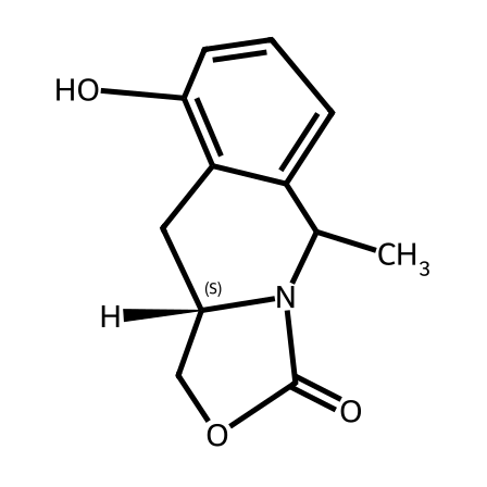 CC1c2cccc(O)c2C[C@H]2COC(=O)N12